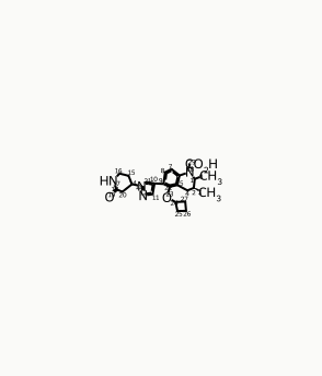 CC1[C@@H](C)Cc2c(ccc(-c3cnn(C4CCNC(=O)C4)c3)c2OC2CCC2)N1C(=O)O